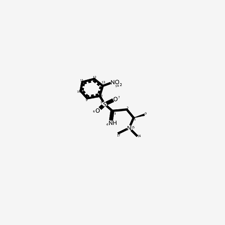 C[C@H](CC(=N)S(=O)(=O)c1ccccc1[N+](=O)[O-])N(C)C